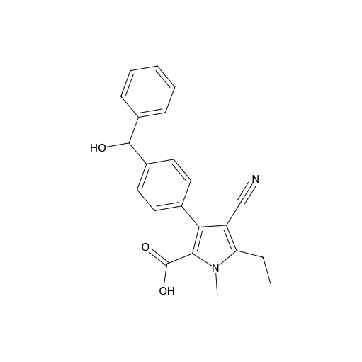 CCc1c(C#N)c(-c2ccc(C(O)c3ccccc3)cc2)c(C(=O)O)n1C